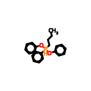 CCCC[PH](Oc1ccccc1)(Oc1ccccc1)c1ccccc1